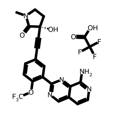 CN1CC[C@@](O)(C#Cc2ccc(OC(F)(F)F)c(-c3ncc4ccnc(N)c4n3)c2)C1=O.O=C(O)C(F)(F)F